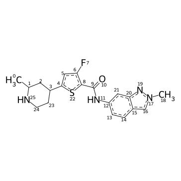 CC1CC(c2cc(F)c(C(=O)Nc3ccc4cn(C)nc4c3)s2)CCN1